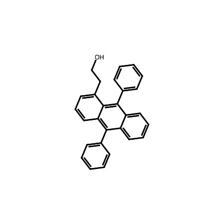 OCCc1cccc2c(-c3ccccc3)c3ccccc3c(-c3ccccc3)c12